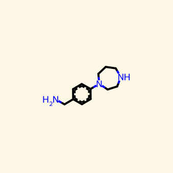 NCc1ccc(N2CCCNCC2)cc1